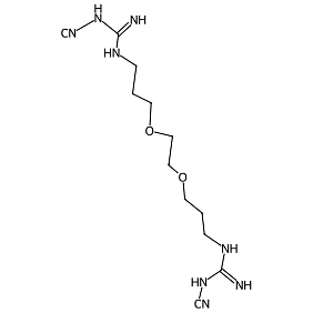 [C-]#[N+]NC(=N)NCCCOCCOCCCNC(=N)NC#N